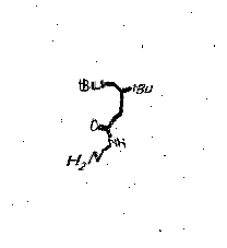 CC(C)(C)C(CC(=O)NN)C(C)(C)C